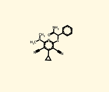 CN(C)c1nc(SC(C(N)=O)c2ccccc2)c(C#N)c(C2CC2)c1C#N